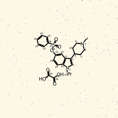 CC(C)n1cc(C2CCN(C)CC2)c2cc(OS(=O)(=O)c3ccccc3)ccc21.O=C(O)C(=O)O